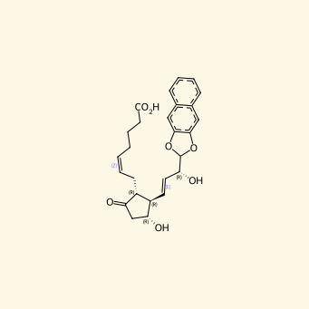 O=C(O)CCC/C=C\C[C@H]1C(=O)C[C@@H](O)[C@@H]1/C=C/[C@@H](O)C1Oc2cc3ccccc3cc2O1